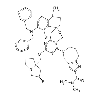 CC1CCC2(Cc3nc(OC[C@@]45CCCN4C[C@H](F)C5)nc(N4CCCn5nc(C(=O)N(C)C)cc5C4)c3CO2)c2c1ccc(N(Cc1ccccc1)Cc1ccccc1)c2Br